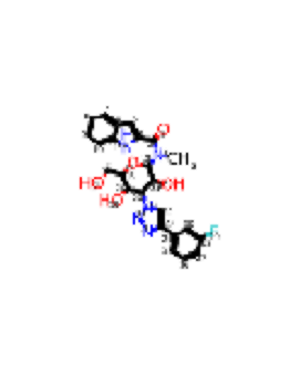 CN(C(=O)c1cc2ccccc2[nH]1)C1OC(CO)C(O)C(n2cc(-c3cccc(F)c3)nn2)C1O